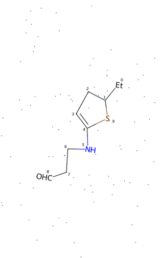 CCC1CC=C(NCCC=O)S1